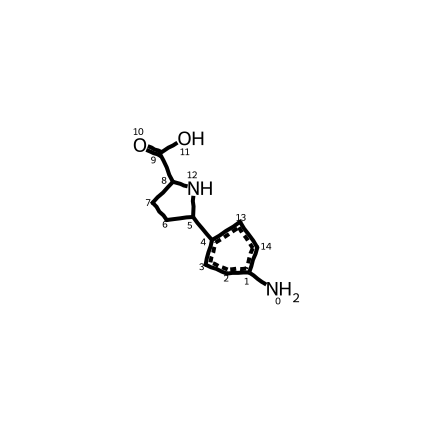 Nc1ccc(C2CCC(C(=O)O)N2)cc1